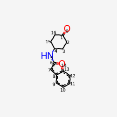 O=C1CCC(Nc2cc3ccccc3o2)CC1